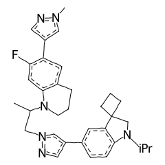 CC(C)N1CC2(CCC2)c2cc(-c3cnn(CC(C)N4CCCc5cc(-c6cnn(C)c6)c(F)cc54)c3)ccc21